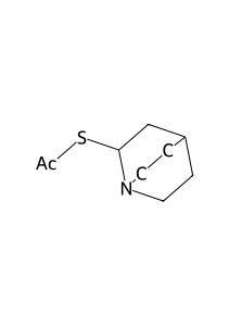 CC(=O)SC1CC2CCN1CC2